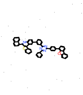 c1ccc(-c2nc(-c3ccc(-c4cccc5c4oc4ccccc45)cc3)nc(-c3cccc(-c4ccc5nc(-c6cccc7ccccc67)c6sc7ccccc7c6c5c4)c3)n2)cc1